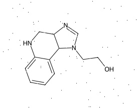 OCCN1C=NC2CNc3ccccc3C21